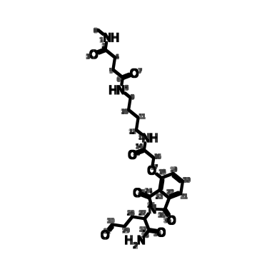 CNC(=O)CCC(=O)NCCCCNC(=O)COc1cccc2c1C(=O)N(C(CCC=O)C(N)=O)C2=O